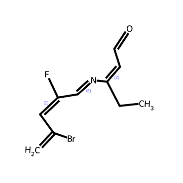 C=C(Br)\C=C(F)/C=N/C(=C\C=O)CC